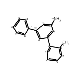 Cc1ccccc1-c1cc(N)cc(-c2ccccc2)c1